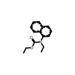 CCOC(=O)N(CC)c1cccc2ccccc12